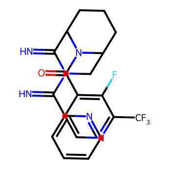 N=C(c1ccccn1)N1CC2CCCC(C1=N)N2C(=O)c1ccnc(C(F)(F)F)c1F